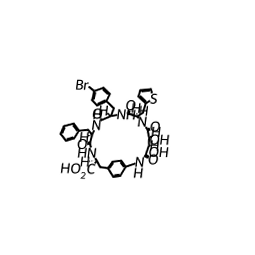 O=C(O)[C@@H]1Cc2ccc(cc2)NC(=O)[C@H](O)[C@@H](O)C(=O)N[C@H](Cc2cccs2)C(=O)N[C@@H](Cc2ccc(Br)cc2)C(=O)N[C@H](Cc2ccccc2)C(=O)N1